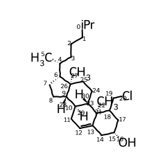 CC(C)CCC[C@@H](C)[C@H]1CC[C@H]2[C@@H]3CC=C4C[C@@H](O)CC(CCl)[C@]4(C)[C@H]3CC[C@]12C